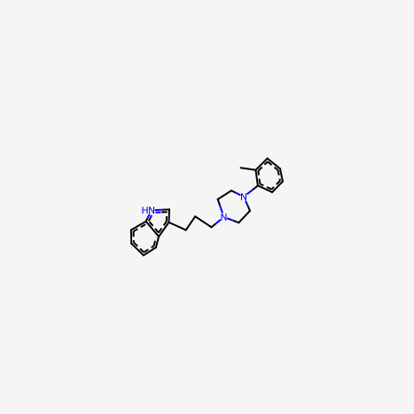 Cc1ccccc1N1CCN(CCCc2c[nH]c3ccccc23)CC1